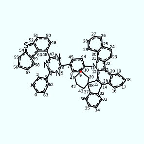 c1ccc(-c2nc(-c3ccc(-n4c5c6c(c7ccccc7c5c5ccc7ccccc7c54)-c4ccccc4C64CCCCC4)cc3)nc(-c3cccc4sc5ccccc5c34)n2)cc1